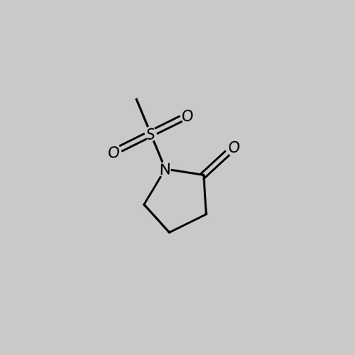 CS(=O)(=O)N1CCCC1=O